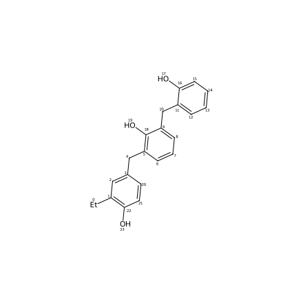 CCc1cc(Cc2cccc(Cc3ccccc3O)c2O)ccc1O